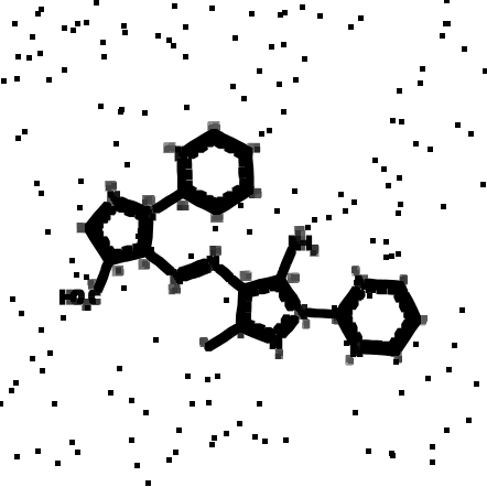 Cc1nn(-c2ncccn2)c(N)c1/N=N/c1c(C(=O)O)cnn1-c1ccccn1